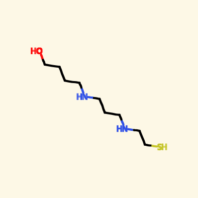 OCCCCNCCCNCCS